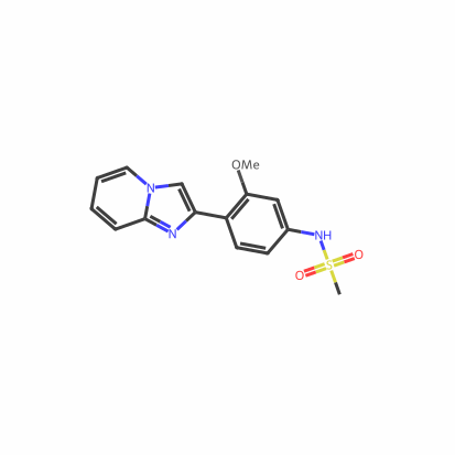 COc1cc(NS(C)(=O)=O)ccc1-c1cn2ccccc2n1